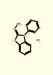 Cl.NN=c1sc2ccccc2n1-c1ccccc1